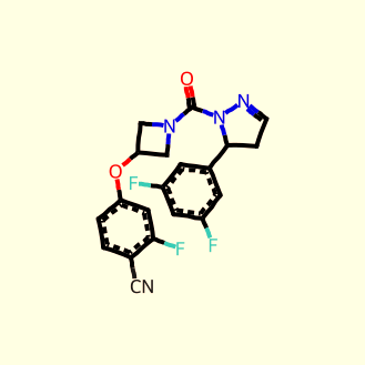 N#Cc1ccc(OC2CN(C(=O)N3N=CCC3c3cc(F)cc(F)c3)C2)cc1F